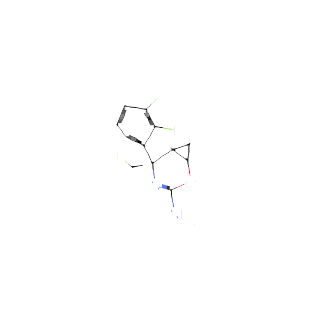 NC1=N[C@](CF)(c2cccc(F)c2F)[C@H]2CC2O1